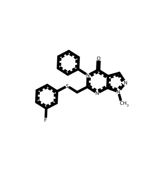 Cn1ncc2c(=O)n(-c3ccccc3)c(CSc3cccc(F)c3)nc21